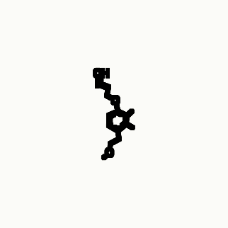 COCCc1ccc(OC/C=N/O)c(C)c1C